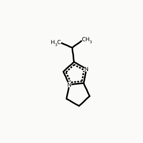 CC(C)c1cn2c(n1)CCC2